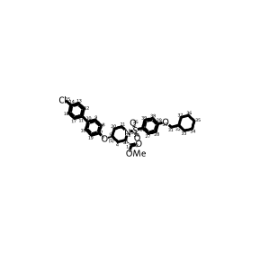 COC(=O)[C@@H]1C[C@@H](Oc2ccc(-c3ccc(Cl)cc3)cc2)CCN1S(=O)(=O)c1ccc(OCC2CCCCC2)cc1